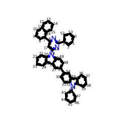 c1ccc(-c2nc(-c3cccc4ccccc34)cc(-n3c4ccccc4c4cc(-c5ccc6c(c5)c5ccccc5n6-c5ccccc5)ccc43)n2)cc1